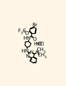 CN(C)c1nc(NC2CCC(NC(=O)c3ccc(Br)cc3OC(F)(F)F)CC2)nc2ccccc12.Cl.Cl